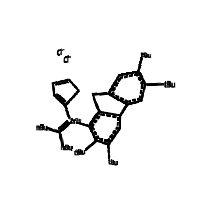 CCCC[C](CCCC)=[Zr+2]([C]1=CC=CC1)[c]1c2c(cc(C(C)(C)C)c1C(C)(C)C)-c1cc(C(C)(C)C)c(C(C)(C)C)cc1C2.[Cl-].[Cl-]